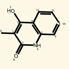 Cc1c(O)c2c([nH]c1=O)C=IC=C2